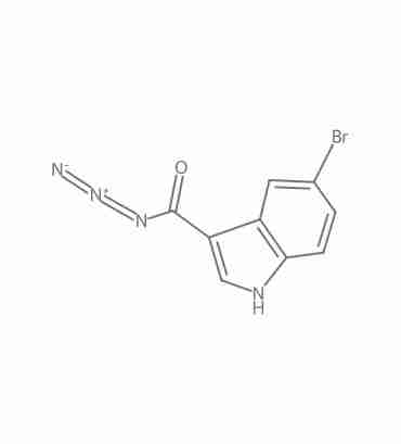 [N-]=[N+]=NC(=O)c1c[nH]c2ccc(Br)cc12